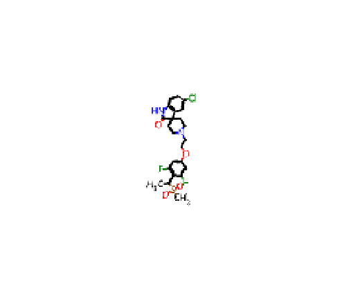 CC(c1c(F)cc(OCCN2CCC3(CC2)C(=O)Nc2ccc(Cl)cc23)cc1F)S(C)(=O)=O